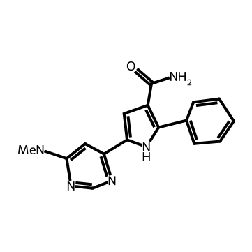 CNc1cc(-c2cc(C(N)=O)c(-c3ccccc3)[nH]2)ncn1